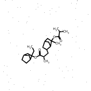 CCC1(OC(=O)C(C)CC2CC3CC2C(C)(OC(=O)C(C)C)C3)CC2CCC1C2